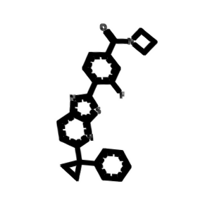 O=C(c1ccc(-c2nc3ccc(C4(c5ccccc5)CC4)nc3s2)c(F)c1)N1CCC1